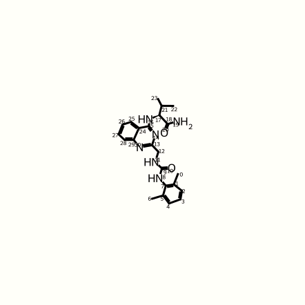 Cc1cccc(C)c1NC(=O)NCc1nc(N[C@H](C(N)=O)C(C)C)c2ccccc2n1